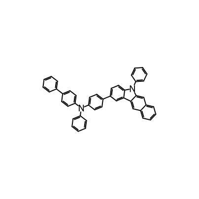 c1ccc(-c2ccc(N(c3ccccc3)c3ccc(-c4ccc5c(c4)c4cc6ccccc6cc4n5-c4ccccc4)cc3)cc2)cc1